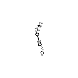 CC(C)(C)c1cc(NC(=O)Nc2ccc(C#Cc3nc4ccc(OCCN5CCOCC5)cc4s3)cc2)no1